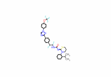 CC(C)c1ccccc1N1CCCS/C1=N\C(=O)NC(F)C(F)c1ccc(-c2ncn(-c3ccc(OC(F)(F)F)cc3)n2)cc1